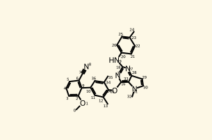 COc1cccc(C#N)c1-c1cc(C)c(Oc2nc(Nc3ccc(C)cc3)nc3ccn(C)c23)c(C)c1